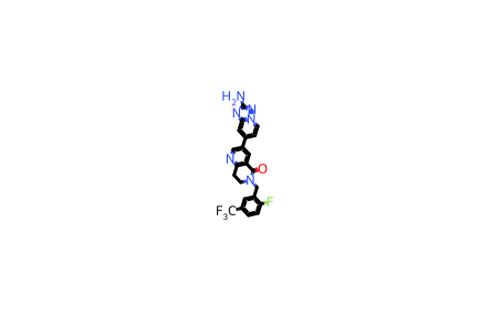 Nc1nc2cc(-c3cnc4c(c3)C(=O)N(Cc3cc(C(F)(F)F)ccc3F)CC4)ccn2n1